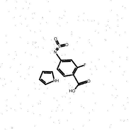 O=C(O)c1ccc(N=S(=O)=O)cc1F.c1cc[nH]c1